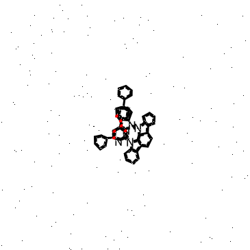 c1ccc(-c2ccc(-c3cc(-c4ccccc4)nc(-n4c5ccccc5c5ccc6c7ccccc7n(-n7c8ccccc8c8ccccc87)c6c54)n3)cc2)cc1